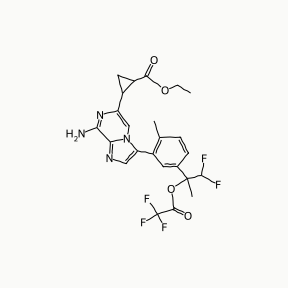 CCOC(=O)C1CC1c1cn2c(-c3cc(C(C)(OC(=O)C(F)(F)F)C(F)F)ccc3C)cnc2c(N)n1